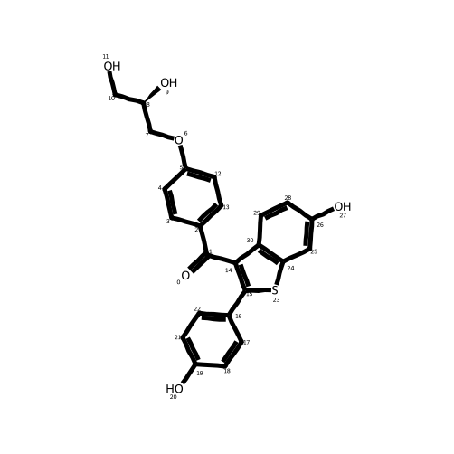 O=C(c1ccc(OC[C@H](O)CO)cc1)c1c(-c2ccc(O)cc2)sc2cc(O)ccc12